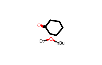 O=C1CCCCC1.[CH2]COCCCC